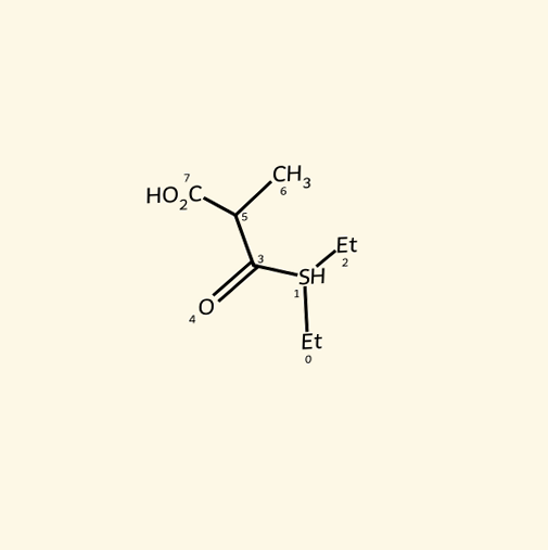 CC[SH](CC)C(=O)C(C)C(=O)O